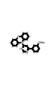 COc1cccc(-c2cc(N3c4ccccc4Oc4ccccc43)ncn2)c1